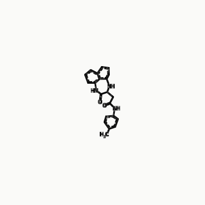 Cc1ccc(NC(=O)CC2Nc3cccc4cccc(c34)NC2=O)cc1